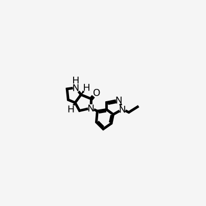 CCn1ncc2c(N3C[C@@H]4CCN[C@@H]4C3=O)cccc21